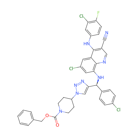 N#Cc1cnc2c(N[C@@H](c3ccc(Cl)cc3)c3cn(C4CCN(C(=O)OCc5ccccc5)CC4)nn3)cc(Cl)cc2c1Nc1ccc(F)c(Cl)c1